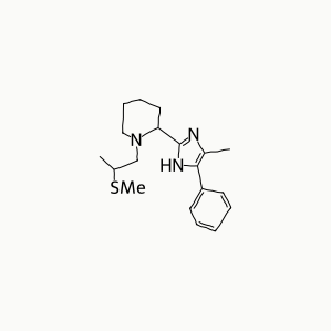 CSC(C)CN1CCCCC1c1nc(C)c(-c2ccccc2)[nH]1